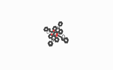 c1ccc(N2c3ccccc3C3(c4ccccc42)c2cc(-c4cc5ccccc5o4)oc2C2(c4ccccc4N(c4ccccc4)c4ccccc42)c2cc(-c4cc5ccccc5o4)oc23)cc1